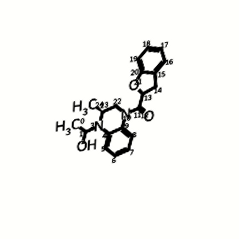 CC(O)N1c2ccccc2N(C(=O)C2Cc3ccccc3O2)C[C@@H]1C